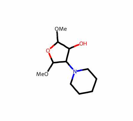 COC1OC(OC)C(N2CCCCC2)C1O